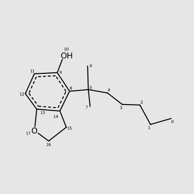 CCCCCC(C)(C)c1c(O)ccc2c1CCO2